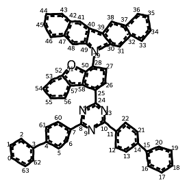 c1ccc(-c2ccc(-c3nc(-c4ccc(-c5ccccc5)cc4)nc(-c4ccc(-n5c6cc7ccccc7cc6c6cc7ccccc7cc65)c5oc6ccccc6c45)n3)cc2)cc1